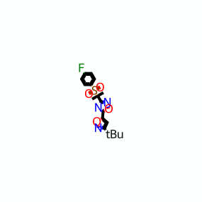 CC(C)(C)c1cc(-c2nc(C(C)(C)S(=O)(=O)c3ccc(F)cc3)no2)on1